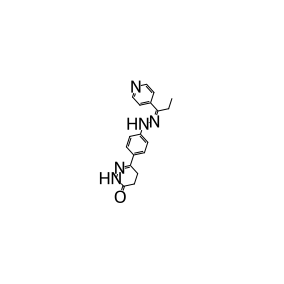 CCC(=NNc1ccc(C2=NNC(=O)CC2)cc1)c1ccncc1